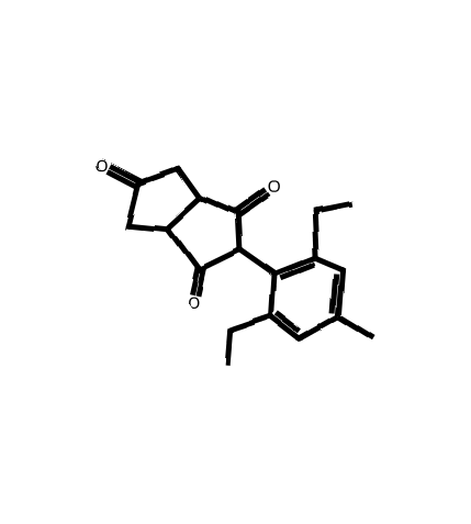 CCc1cc(C)cc(CC)c1C1C(=O)C2CC(=O)CC2C1=O